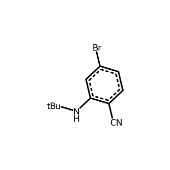 CC(C)(C)Nc1cc(Br)ccc1C#N